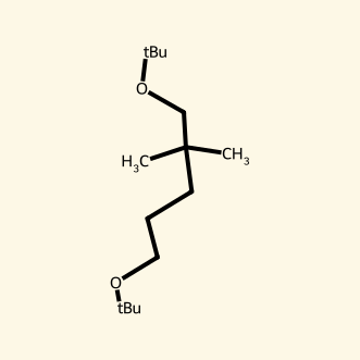 CC(C)(CCCOC(C)(C)C)COC(C)(C)C